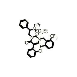 CCCN(C(=O)OCC)C(Cn1c(=O)c(-c2ccccc2Cl)cn(Cc2c(F)cccc2C(F)(F)F)c1=O)c1ccccc1